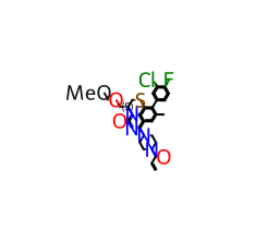 C=CC(=O)N1CCN(c2nc(=O)n3c4c(c(-c5ccc(F)c(Cl)c5)c(C)cc24)SC[C@@H]3COCOC)CC1